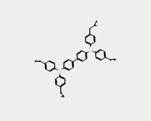 c1cc(N(c2ccc(-c3ccc(N(c4ccc(C5CO5)cc4)c4ccc(C5CO5)cc4)cc3)cc2)c2ccc(C3CO3)cc2)ccc1CC1CO1